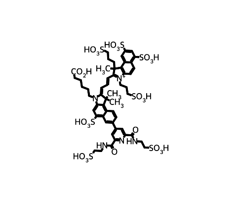 CC1(CCCS(=O)(=O)O)C(/C=C/C=C2/N(CCCCCC(=O)O)c3cc(S(=O)(=O)O)c4cc(-c5cc(C(=O)NCCS(=O)(=O)O)nc(C(=O)NCCS(=O)(=O)O)c5)ccc4c3C2(C)C)=[N+](CCCS(=O)(=O)O)c2ccc3c(S(=O)(=O)O)cc(S(=O)(=O)O)cc3c21